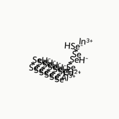 [Al+3].[Cu+2].[In+3].[Se]=[SeH-].[Se]=[SeH-].[Se]=[SeH-].[Se]=[SeH-].[Se]=[SeH-].[Se]=[SeH-].[Se]=[SeH-].[Se]=[SeH-]